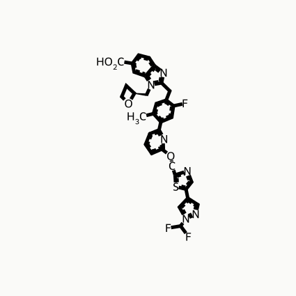 Cc1cc(Cc2nc3ccc(C(=O)O)cc3n2C[C@@H]2CCO2)c(F)cc1-c1cccc(OCc2ncc(-c3cnn(C(F)F)c3)s2)n1